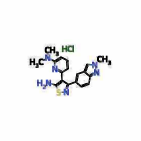 CN(C)c1cccc(-c2c(-c3ccc4nn(C)cc4c3)nsc2N)n1.Cl